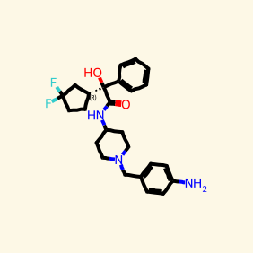 Nc1ccc(CN2CCC(NC(=O)C(O)(c3ccccc3)[C@@H]3CCC(F)(F)C3)CC2)cc1